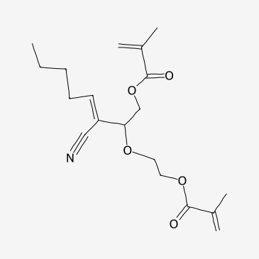 C=C(C)C(=O)OCCOC(COC(=O)C(=C)C)C(C#N)=CCCCC